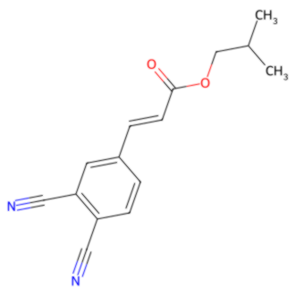 CC(C)COC(=O)/C=C/c1ccc(C#N)c(C#N)c1